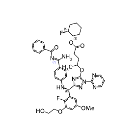 COc1cc(OCCO)c(F)c([C@@H](Nc2ccc(/C(N)=N/C(=O)c3ccccc3)cc2)c2nc(OC(C)CCC(=O)O[C@H]3CCCC[C@@H]3F)n(-c3ncccn3)n2)c1